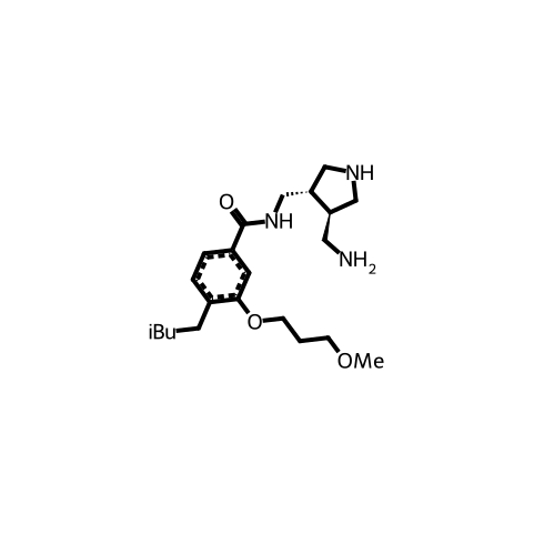 CCC(C)Cc1ccc(C(=O)NC[C@@H]2CNC[C@H]2CN)cc1OCCCOC